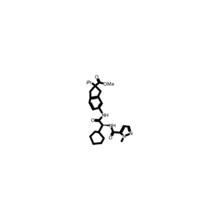 COC(=O)C1(C(C)C)Cc2ccc(NC(=O)[C@@H](NC(=O)c3ccnn3C)C3CCCCC3)cc2C1